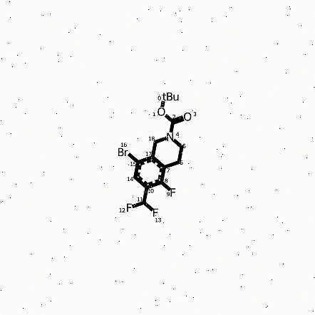 CC(C)(C)OC(=O)N1CCc2c(F)c(C(F)F)cc(Br)c2C1